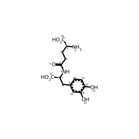 N[C@@H](CCC(=O)N[C@@H](Cc1ccc(O)c(O)c1)C(=O)O)C(=O)O